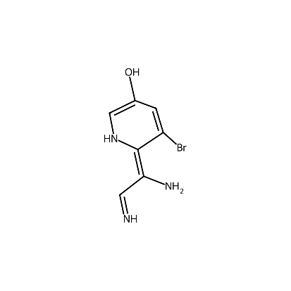 N=C/C(N)=C1\NC=C(O)C=C1Br